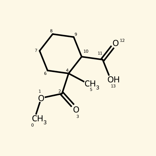 COC(=O)C1(C)CCCCC1C(=O)O